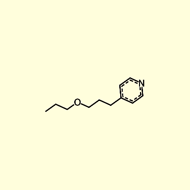 CCCOCCCc1ccncc1